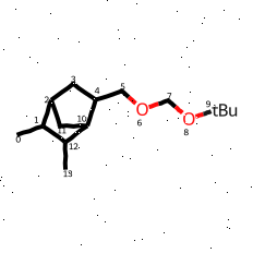 CC1C2CC(COCOC(C)(C)C)C(C2)C1C